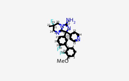 COc1cccc(-c2cc(C3(c4ccncc4)N=C(N)N4CC(C)(F)CN=C43)ccc2F)c1F